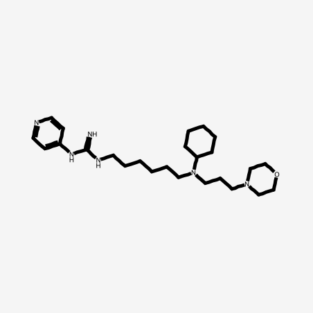 N=C(NCCCCCCN(CCCN1CCOCC1)C1CCCCC1)Nc1ccncc1